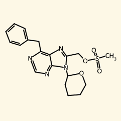 CS(=O)(=O)OCc1nc2c(Cc3ccccc3)ncnc2n1C1CCCCO1